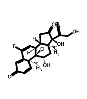 C=C1C[C@H]2[C@@H]3C=C(F)C4=CC(=O)C=C[C@]4(C)[C@@]3(Cl)[C@@H](O)C[C@]2(C)[C@@]1(O)C(=O)CO